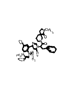 CN1CCC2(CCCN(C(=O)C(Cc3ccccc3)n3cnc(-c4cc(Cl)ccc4N(N)/C=C(\N)Cl)cc3=O)C2)C1=O